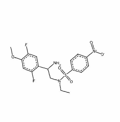 CCN(CC(N)c1cc(F)c(OC)cc1F)S(=O)(=O)c1ccc([N+](=O)[O-])cc1